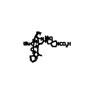 Cc1c(CN(C(=O)OC(C)(C)C)c2cc(NC[C@H]3CCN(C(=O)O)C[C@@H]3O)nc3c(C(C)C)cnn23)nc2ccccn12